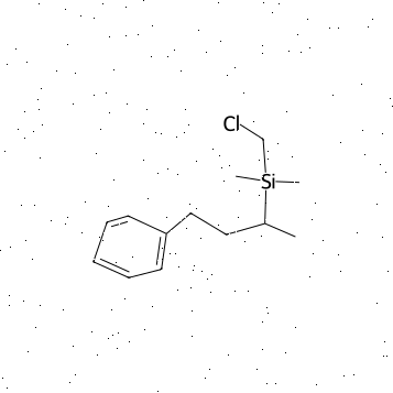 CC(CCc1ccccc1)[Si](C)(C)CCl